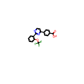 O=C(O)c1ccc(-c2ccnc(-c3ccccc3OC(F)(F)F)n2)cc1